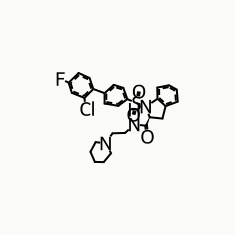 O=C(NCCN1CCCCC1)[C@@H]1Cc2ccccc2N1S(=O)(=O)c1ccc(-c2ccc(F)cc2Cl)cc1